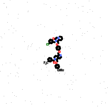 COc1ccc(OCC2c3ccnc(COc4ccc(OCC5C6CCCCN6CC(=O)N5Cc5cccc(Cl)c5)cc4)c3CCN2C(=O)c2cccc(C(F)(F)F)c2)cc1